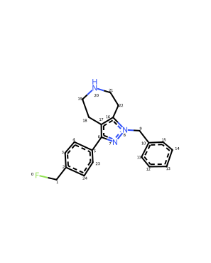 FCc1ccc(-c2nn(Cc3ccccc3)c3c2CCNCC3)cc1